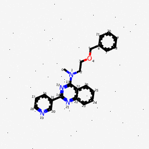 CN(CCOCc1ccccc1)c1nc(-c2cccnc2)nc2ccccc12